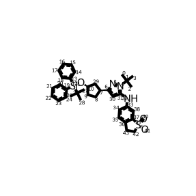 CC(C)(C)n1nc([C@H]2CC[C@@H](O[Si](c3ccccc3)(c3ccccc3)C(C)(C)C)C2)cc1Nc1ccc2c(c1)S(=O)(=O)CC2